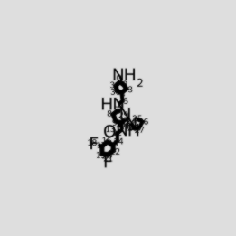 Nc1ccc(CNc2ccc(NC(=O)Cc3cc(F)cc(F)c3)c(N3CCCC3)n2)cc1